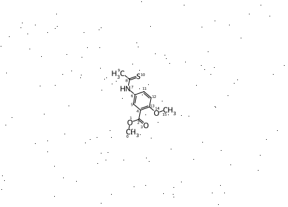 COC(=O)c1cc(NC(C)=S)ccc1OC